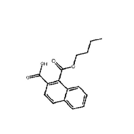 CCCCOC(=O)c1c(C(=O)O)ccc2ccccc12